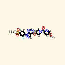 CC(C)Oc1ccc(C(=O)N2CCC(Oc3ncnc4c3cnn4-c3ccc(S(C)(=O)=O)cc3F)CC2)nc1